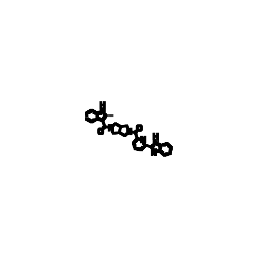 Cc1[nH]c2ccccc2c1C(=O)N1CC2CN(C(=O)c3cccc(-c4nc5ccccc5[nH]4)n3)CC2C1